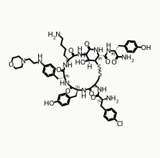 NCCCC[C@@H]1NC(=O)[C@@H](Cc2ccc(NCCN3CCOCC3)cc2)NC(=O)[C@H](Cc2ccc(O)cc2)NC(=O)[C@H](NC(=O)[C@@H](N)Cc2ccc(Cl)cc2)CSSC2[C@@H](C(=O)N[C@H](Cc3ccc(O)cc3)C(N)=O)NC(=O)[C@@H](NC1=O)[C@@H]2O